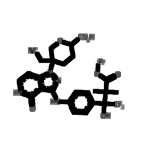 CC(C)OC(=O)C(C)(C)C(O)(c1ccc(Nc2nn(C3(CC#N)CCC(C(=O)O)OC3)c3cc[nH]c(=O)c23)cc1)C(F)(F)F